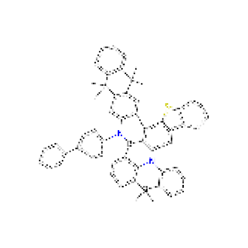 CC1(C)c2ccccc2C(C)(C)c2cc3c(cc21)-c1c2c(cc4c1sc1ccccc14)N1c4ccccc4[Si](C)(C)c4cccc(c41)B2N3c1ccc(-c2ccccc2)cc1